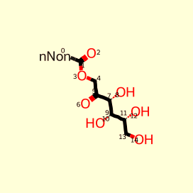 CCCCCCCCCC(=O)OCC(=O)[C@H](O)[C@@H](O)[C@H](O)CO